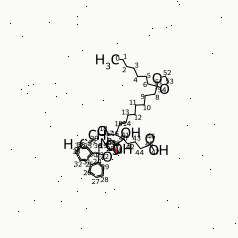 CCCCCCCC1(CCCCCC/C=C/[C@H](C(=O)N2C(=S)OC(c3ccccc3)(c3ccccc3)[C@@H]2C(C)C)[C@@](O)(CCCC(=O)O)C(=O)O)OCCO1